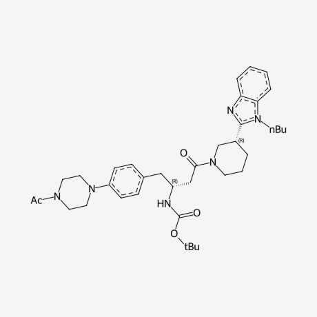 CCCCn1c([C@@H]2CCCN(C(=O)C[C@@H](Cc3ccc(N4CCN(C(C)=O)CC4)cc3)NC(=O)OC(C)(C)C)C2)nc2ccccc21